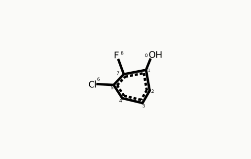 Oc1[c]ccc(Cl)c1F